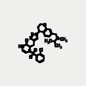 CC(C)N(C)Cc1ccc2c(c1)OCCC2n1cc(CC2C(=O)NC=CN2S(=O)(=O)c2ccccc2Cl)nn1